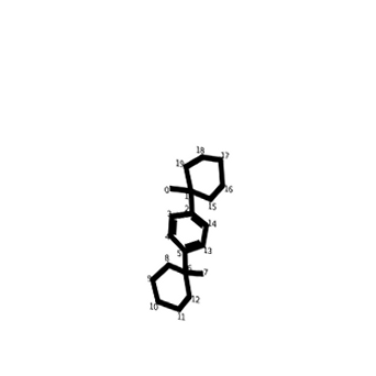 CC1(c2ccc(C3(C)CCCCC3)cc2)CCCCC1